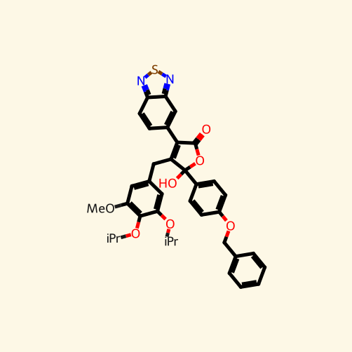 COc1cc(CC2=C(c3ccc4nsnc4c3)C(=O)OC2(O)c2ccc(OCc3ccccc3)cc2)cc(OC(C)C)c1OC(C)C